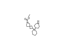 CCOC(=O)N1CCC2(CC([N+]3(C4CCNCC4)CCCCC3)C2)C1